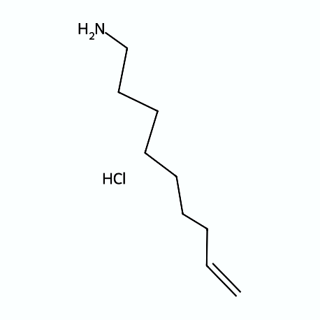 C=CCCCCCCCN.Cl